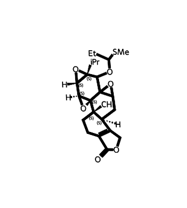 CCC(OC1C23OC2C[C@H]2C4=C(CC[C@]2(C)[C@@]32O[C@H]2[C@@H]2O[C@]12C(C)C)C(=O)OC4)SC